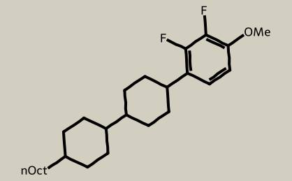 CCCCCCCCC1CCC(C2CCC(c3ccc(OC)c(F)c3F)CC2)CC1